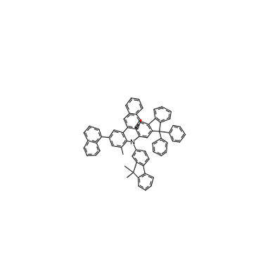 Cc1cc(-c2cccc3ccccc23)cc(-c2ccc3ccccc3c2)c1N(c1ccc2c(c1)C(C)(C)c1ccccc1-2)c1ccc2c(c1)C(c1ccccc1)(c1ccccc1)c1ccccc1-2